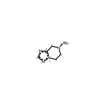 CC(C)(C)N1CCn2ncnc2C1